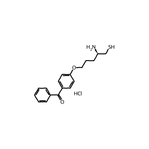 Cl.N[C@@H](CS)CCCOc1ccc(C(=O)c2ccccc2)cc1